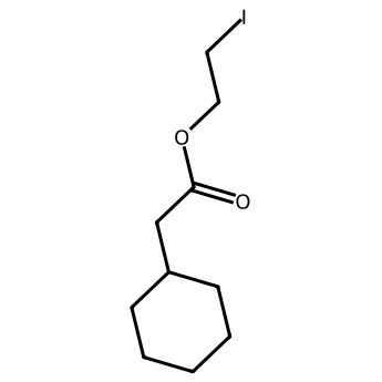 O=C(CC1CCCCC1)OCCI